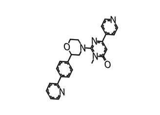 Cn1c(N2CCOC(c3ccc(-c4ccccn4)cc3)C2)nc(-c2ccncc2)cc1=O